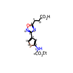 CCOC(=O)Nc1cc(-c2noc(CCC(=O)O)n2)cs1